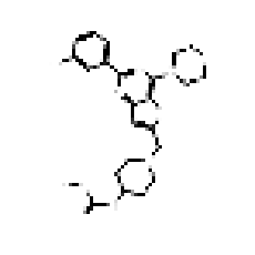 CC(C)(C)OC(=O)NC1CCN(Cc2cc3nc(-c4cccc(O)c4)nc(N4CCOCC4)c3s2)CC1